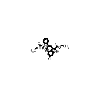 CCOC(=O)Nc1ccccc1C(=Cc1c(C(=O)OCC)[nH]c2cc(Cl)cc(Cl)c12)C(=O)O